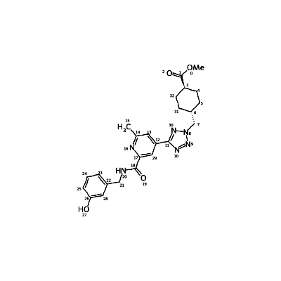 COC(=O)[C@H]1CC[C@H](Cn2nnc(-c3cc(C)nc(C(=O)NCc4cccc(O)c4)c3)n2)CC1